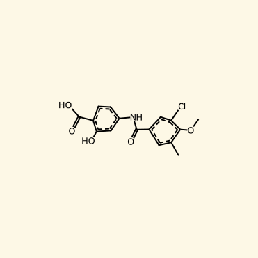 COc1c(C)cc(C(=O)Nc2ccc(C(=O)O)c(O)c2)cc1Cl